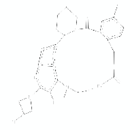 C=C1CCc2ccc(C)cc2C(=C)N2CCCCC2c2cc3nc(N4CC(N)C4)c(F)c(n3n2)N(C)CCN1